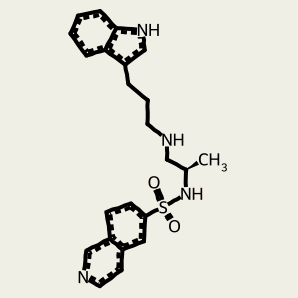 C[C@H](CNCCCc1c[nH]c2ccccc12)NS(=O)(=O)c1ccc2cnccc2c1